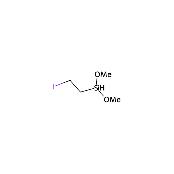 CO[SiH](CCI)OC